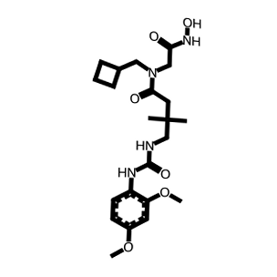 COc1ccc(NC(=O)NCC(C)(C)CC(=O)N(CC(=O)NO)CC2CCC2)c(OC)c1